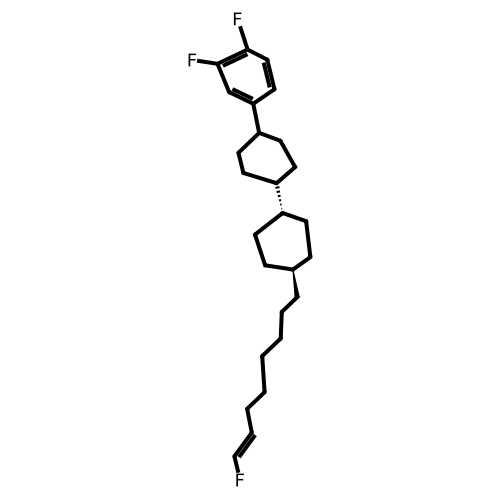 F/C=C/CCCCCC[C@H]1CC[C@H](C2CCC(c3ccc(F)c(F)c3)CC2)CC1